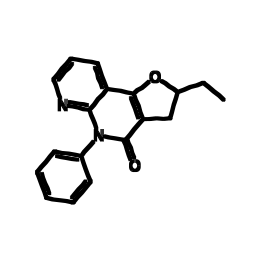 CCC1Cc2c(c3cccnc3n(-c3ccccc3)c2=O)O1